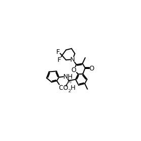 Cc1cc([C@@H](C)Nc2ccccc2C(=O)O)c2oc(N3CCCC(F)(F)C3)c(C)c(=O)c2c1